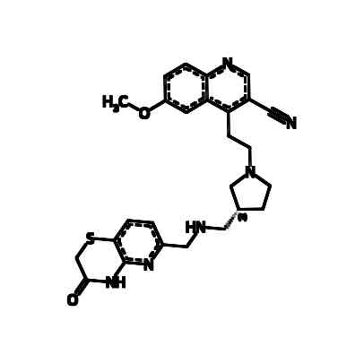 COc1ccc2ncc(C#N)c(CCN3CC[C@H](CNCc4ccc5c(n4)NC(=O)CS5)C3)c2c1